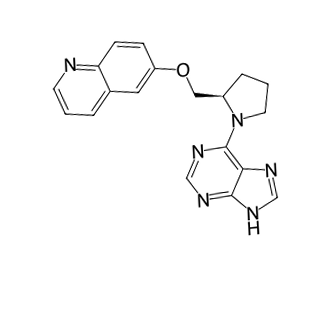 c1cnc2ccc(OC[C@H]3CCCN3c3ncnc4[nH]cnc34)cc2c1